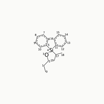 CCCO[Si](c1ccccc1)(c1ccccc1)C(C)C